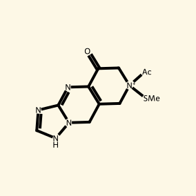 CS[N+]1(C(C)=O)CC(=O)C2=C(CN3NC=NC3=N2)C1